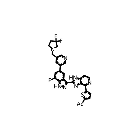 CC(=O)c1ccc(-c2nccc3[nH]c(-c4n[nH]c5c(F)cc(-c6cncc(CN7CCC(F)(F)C7)c6)cc45)nc23)s1